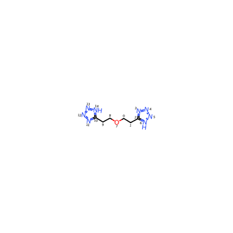 C(Cc1nnn[nH]1)OCCc1nnn[nH]1